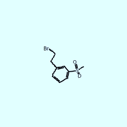 CS(=O)(=O)c1cccc(CCBr)c1